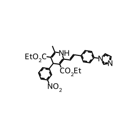 CCOC(=O)C1=C(C)NC(/C=C/c2ccc(-n3ccnc3)cc2)=C(C(=O)OCC)C1c1cccc([N+](=O)[O-])c1